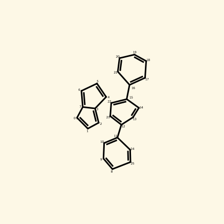 [C]1=CC=C2C=CC=C12.c1ccc(-c2ccc(-c3ccccc3)cc2)cc1